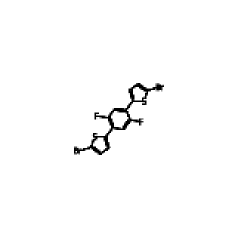 Fc1cc(-c2ccc(Br)s2)c(F)cc1-c1ccc(Br)s1